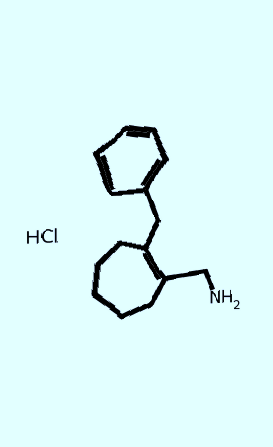 Cl.NCC1=C(Cc2ccccc2)CCCCC1